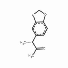 CC(=O)[C@H](C)c1ccc2c(c1)OCO2